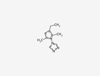 CCc1cc(C)n(-n2cnnc2)c1C